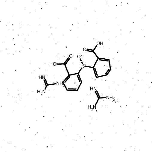 N=C(N)N.N=C(N)N.O=C(O)c1ccccc1[S+]([O-])c1ccccc1C(=O)O